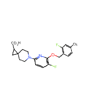 N#Cc1ccc(COc2nc(N3CCC4(CC3)CC4C(=O)O)ccc2F)c(F)c1